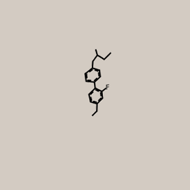 CCc1ccc(-c2ccc(CC(C)CC)cc2)c(F)c1